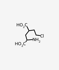 N[C@H](CC(CCCl)C(=O)O)C(=O)O